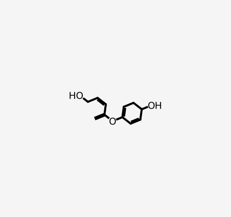 C=C(/C=C\CO)OC1=CCC(O)C=C1